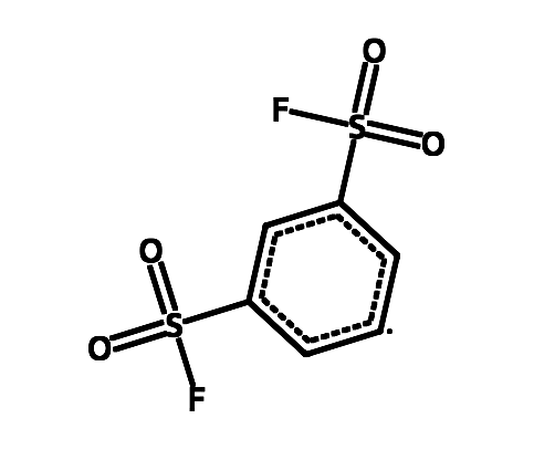 O=S(=O)(F)c1c[c]cc(S(=O)(=O)F)c1